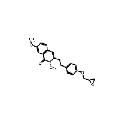 COc1ccc2cc(CCc3ccc(OCC4CO4)cc3)n(C)c(=O)c2c1